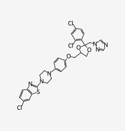 Clc1ccc(C2(Cn3cncn3)OCC(COc3ccc(N4CCN(c5nc6ccc(Cl)cc6s5)CC4)cc3)O2)c(Cl)c1